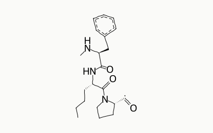 CCCC[C@H](NC(=O)[C@H](Cc1ccccc1)NC)C(=O)N1CCC[C@H]1[C]=O